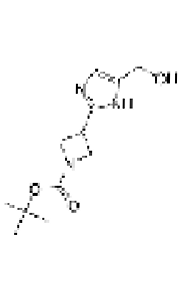 CC(C)(C)OC(=O)N1CC(c2ncc(CO)[nH]2)C1